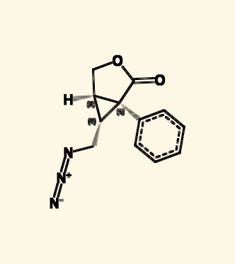 [N-]=[N+]=NC[C@@H]1[C@H]2COC(=O)[C@@]12c1ccccc1